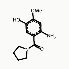 COc1cc(N)c(C(=O)N2CCCC2)cc1O